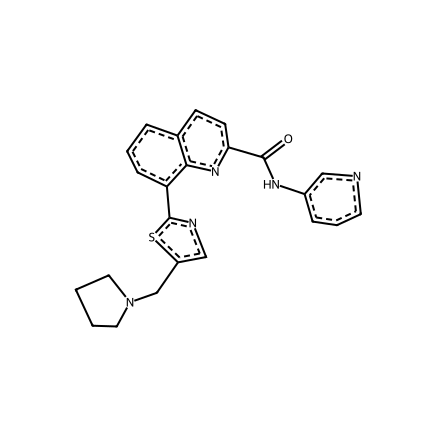 O=C(Nc1cccnc1)c1ccc2cccc(-c3ncc(CN4CCCC4)s3)c2n1